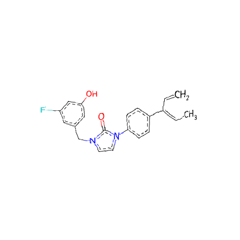 C=C/C(=C\C)c1ccc(-n2ccn(Cc3cc(O)cc(F)c3)c2=O)cc1